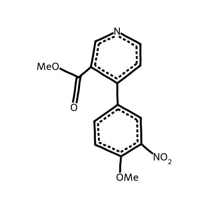 COC(=O)c1cnccc1-c1ccc(OC)c([N+](=O)[O-])c1